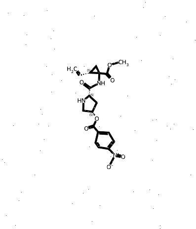 C=C[C@@H]1CC1(NC(=O)[C@@H]1C[C@H](OC(=O)c2ccc([N+](=O)[O-])cc2)CN1)C(=O)OC